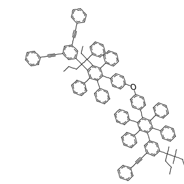 CCCC(C)(c1cc(C#Cc2ccccc2)cc(-c2c(-c3ccccc3)c(-c3ccccc3)c(-c3ccc(Oc4ccc(-c5c(-c6ccccc6)c(-c6ccccc6)c6c(c5-c5ccccc5)C(CC)(c5ccccc5)C6(CCC)c5cc(C#Cc6ccccc6)cc(C#Cc6ccccc6)c5)cc4)cc3)c(-c3ccccc3)c2-c2ccccc2)c1)C(C)(C)CC